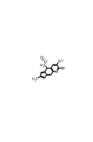 CC1=CC2=Cc3nc(Br)[c]([Zr+3])cc3C(C)C2=C1.[Cl-].[Cl-].[Cl-]